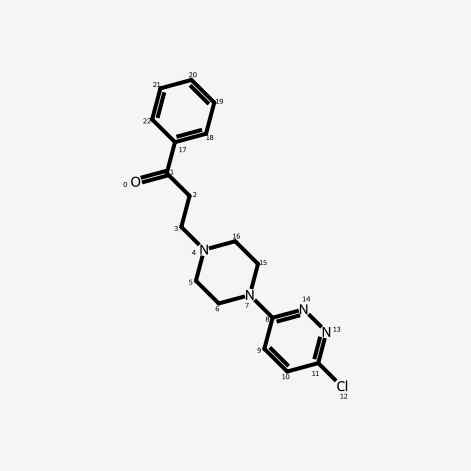 O=C(CCN1CCN(c2ccc(Cl)nn2)CC1)c1ccccc1